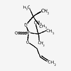 C=CCOP(=O)(OC(C)(C)C)C(C)(C)C